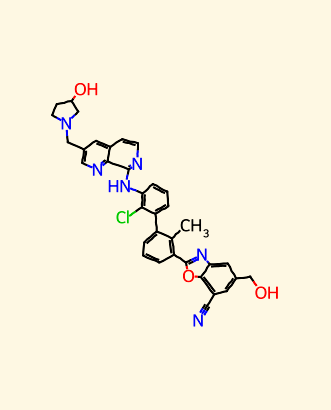 Cc1c(-c2nc3cc(CO)cc(C#N)c3o2)cccc1-c1cccc(Nc2nccc3cc(CN4CCC(O)C4)cnc23)c1Cl